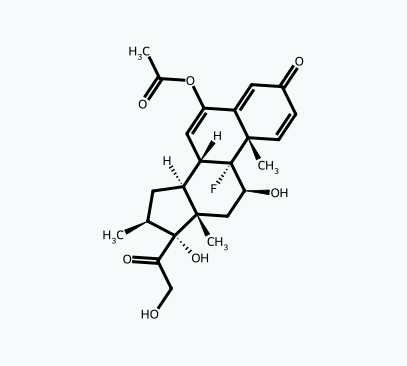 CC(=O)OC1=C[C@H]2[C@@H]3C[C@H](C)[C@](O)(C(=O)CO)[C@@]3(C)C[C@H](O)[C@]2(F)[C@@]2(C)C=CC(=O)C=C12